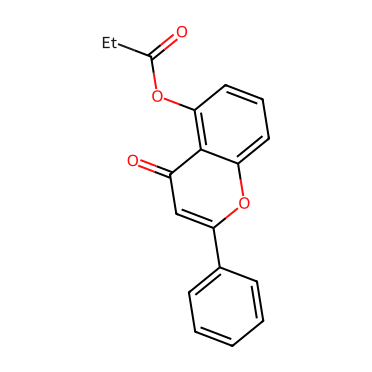 CCC(=O)Oc1cccc2oc(-c3ccccc3)cc(=O)c12